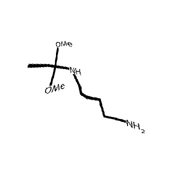 COC(C)(NCCCN)OC